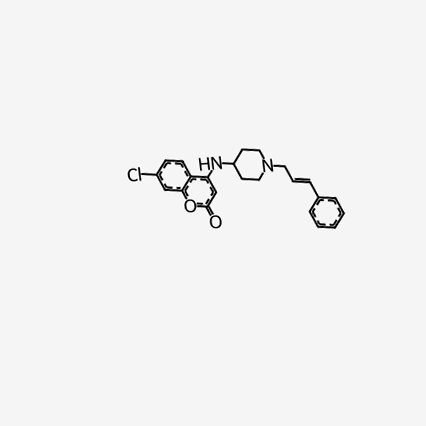 O=c1cc(NC2CCN(CC=Cc3ccccc3)CC2)c2ccc(Cl)cc2o1